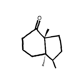 CC1CC[C@@]2(C)C(=O)CCC[C@]12C